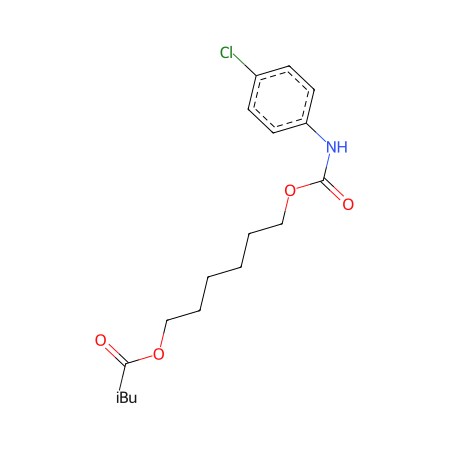 CCC(C)C(=O)OCCCCCCOC(=O)Nc1ccc(Cl)cc1